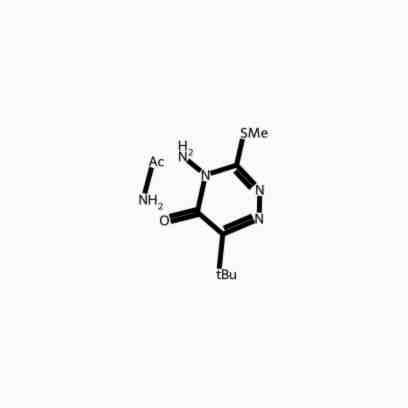 CC(N)=O.CSc1nnc(C(C)(C)C)c(=O)n1N